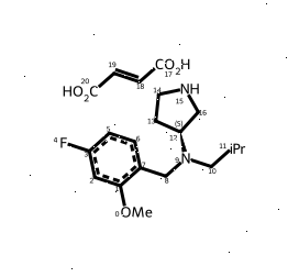 COc1cc(F)ccc1CN(CC(C)C)[C@H]1CCNC1.O=C(O)C=CC(=O)O